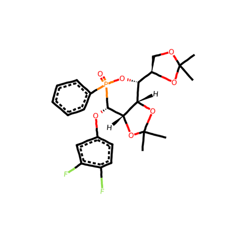 CC1(C)O[C@H]2[C@@H]([C@H]3COC(C)(C)O3)OP(=O)(c3ccccc3)[C@@H](Oc3ccc(F)c(F)c3)[C@H]2O1